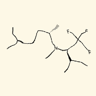 CC(C)CC[C@H](C)N(C)[C@H](C(C)C)C(F)(F)F